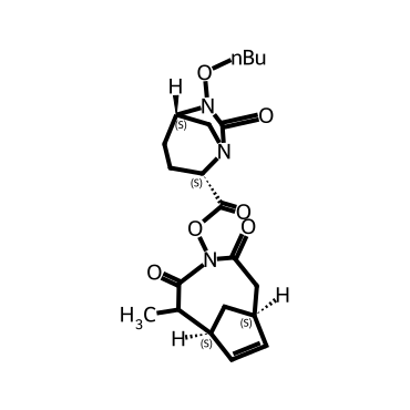 CCCCON1C(=O)N2C[C@@H]1CC[C@H]2C(=O)ON1C(=O)C[C@H]2C=C[C@H](C2)C(C)C1=O